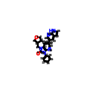 COC1COCC1Cn1c(=O)n(-c2ccccc2)c2ncc(-c3cnc4[nH]ccc4c3)cc21